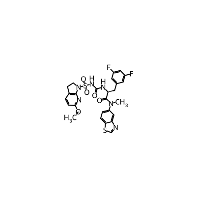 COc1ccc2c(n1)N(S(=O)(=O)NC(=O)N[C@@H](Cc1cc(F)cc(F)c1)C(=O)N(C)c1ccc3scnc3c1)CC2